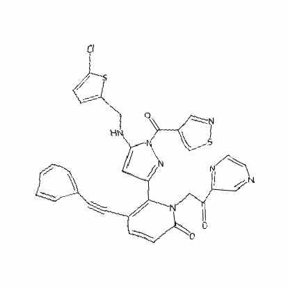 O=C(Cn1c(-c2cc(NCc3ccc(Cl)s3)n(C(=O)c3cnsc3)n2)c(C#Cc2ccccc2)ccc1=O)c1cnccn1